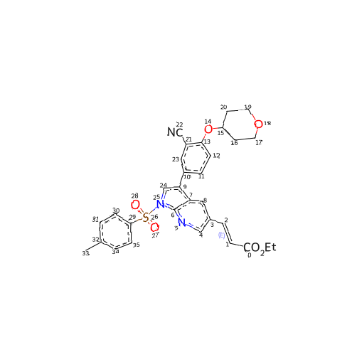 CCOC(=O)/C=C/c1cnc2c(c1)c(-c1ccc(OC3CCOCC3)c(C#N)c1)cn2S(=O)(=O)c1ccc(C)cc1